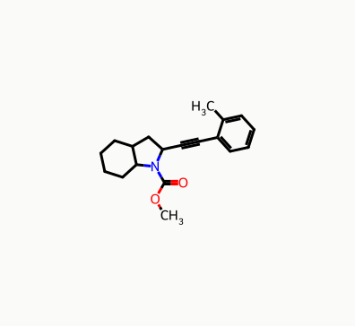 COC(=O)N1C(C#Cc2ccccc2C)CC2CCCCC21